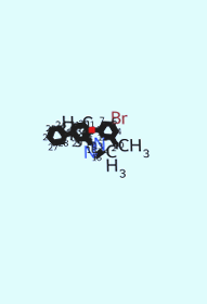 CC(C)c1cc(Br)cc(C(C)C)c1-n1ccnc1-c1cccc(-c2ccccc2)c1